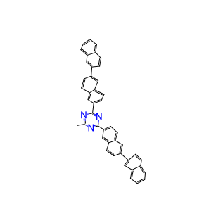 Cc1nc(-c2ccc3cc(-c4ccc5ccccc5c4)ccc3c2)nc(-c2ccc3cc(-c4ccc5ccccc5c4)ccc3c2)n1